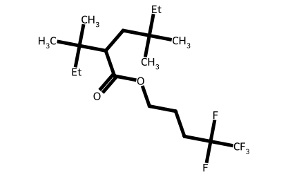 CCC(C)(C)CC(C(=O)OCCCC(F)(F)C(F)(F)F)C(C)(C)CC